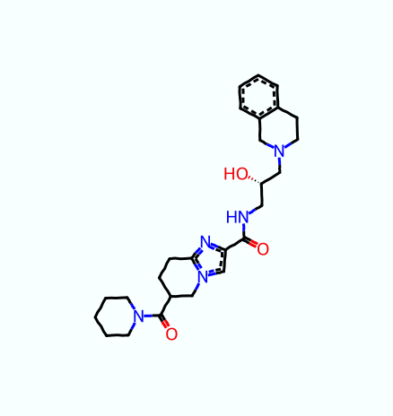 O=C(NC[C@H](O)CN1CCc2ccccc2C1)c1cn2c(n1)CCC(C(=O)N1CCCCC1)C2